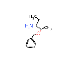 CC[C@@H](N)[C@@H](C)OCc1ccccc1